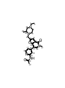 CCN1CCN(Cc2cc3c(=O)n(C)cc(-c4ccnc(NC(C)=O)c4)c3o2)C(C)C1